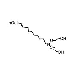 CCCCCCCCC=CCCCCCCCCN(OCCO)OCCO